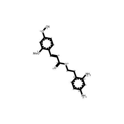 COc1cc(OC#N)ccc1/C=C/C(=O)OCCc1ccc(N)cc1N